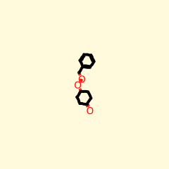 O=C1CCC(OOCc2ccccc2)CC1